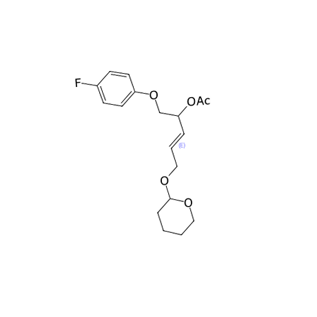 CC(=O)OC(/C=C/COC1CCCCO1)COc1ccc(F)cc1